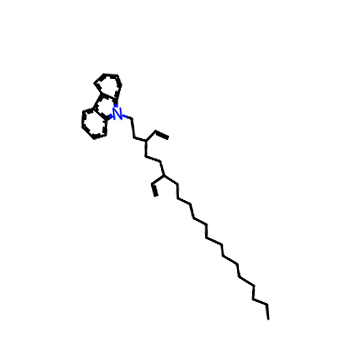 C=CC(CCCCCCCCCCCCCC)CCC(C=C)CCn1c2ccccc2c2ccccc21